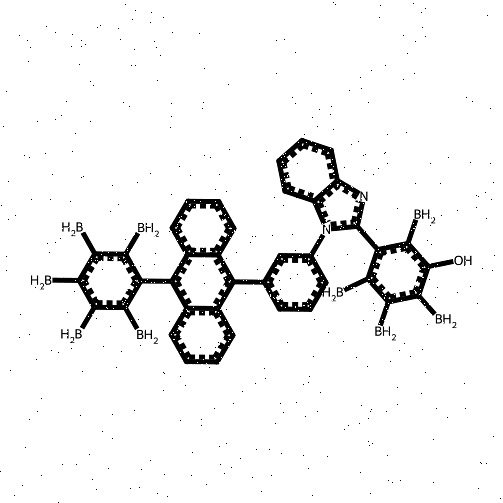 Bc1c(B)c(B)c(-c2c3ccccc3c(-c3cccc(-n4c(-c5c(B)c(B)c(B)c(O)c5B)nc5ccccc54)c3)c3ccccc23)c(B)c1B